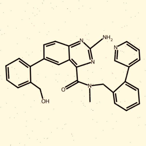 CN(Cc1ccccc1-c1cccnc1)C(=O)c1nc(N)nc2ccc(-c3ccccc3CO)cc12